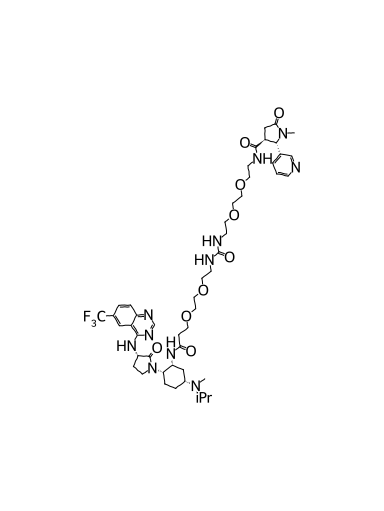 CC(C)N(C)[C@@H]1CC[C@H](N2CC[C@H](Nc3ncnc4ccc(C(F)(F)F)cc34)C2=O)[C@H](NC(=O)CCOCCOCCNC(=O)NCCOCCOCCNC(=O)[C@H]2CC(=O)N(C)[C@@H]2c2cccnc2)C1